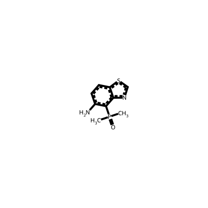 CP(C)(=O)c1c(N)ccc2scnc12